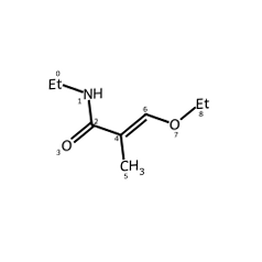 CCNC(=O)C(C)=COCC